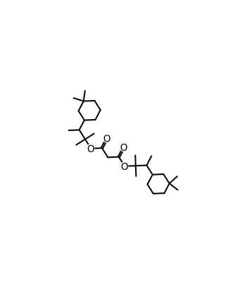 CC(C1CCCC(C)(C)C1)C(C)(C)OC(=O)CC(=O)OC(C)(C)C(C)C1CCCC(C)(C)C1